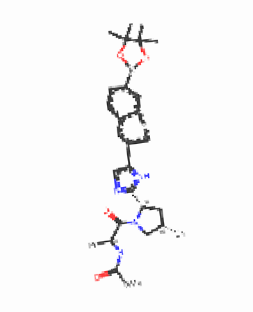 COC(=O)N[C@H](C(=O)N1C[C@@H](C#N)C[C@H]1c1ncc(-c2ccc3cc(B4OC(C)(C)C(C)(C)O4)ccc3c2)[nH]1)C(C)C